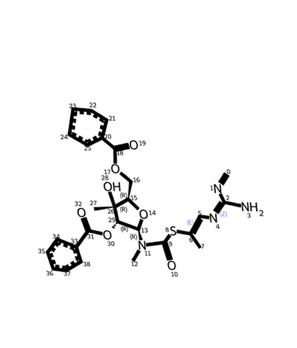 C=N/C(N)=N\C=C(/C)SC(=O)N(C)[C@@H]1O[C@H](COC(=O)c2ccccc2)[C@@](C)(O)[C@H]1OC(=O)c1ccccc1